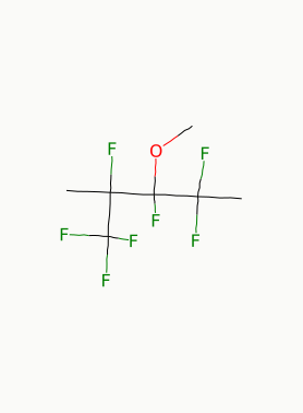 COC(F)(C(C)(F)F)C(C)(F)C(F)(F)F